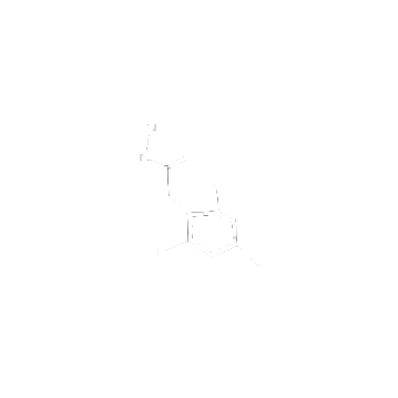 NNC(=O)Cc1c(F)cc(F)cc1F